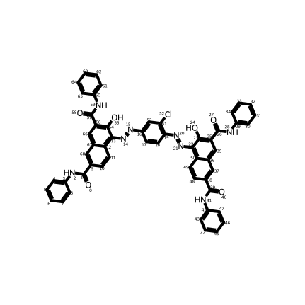 O=C(Nc1ccccc1)c1ccc2c(N=Nc3ccc(N=Nc4c(O)c(C(=O)Nc5ccccc5)cc5cc(C(=O)Nc6ccccc6)ccc45)c(Cl)c3)c(O)c(C(=O)Nc3ccccc3)cc2c1